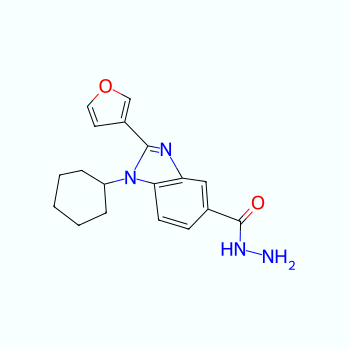 NNC(=O)c1ccc2c(c1)nc(-c1ccoc1)n2C1CCCCC1